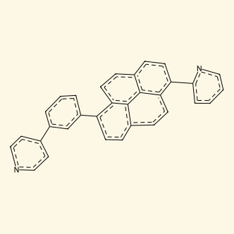 c1ccc(-c2ccc3ccc4c(-c5cccc(-c6ccncc6)c5)ccc5ccc2c3c54)nc1